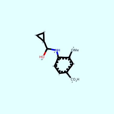 COc1cc(C(=O)O)ccc1NC(O)C1CC1